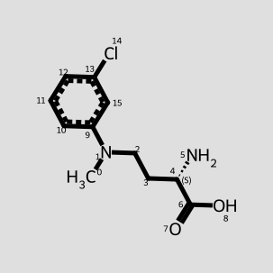 CN(CC[C@H](N)C(=O)O)c1cccc(Cl)c1